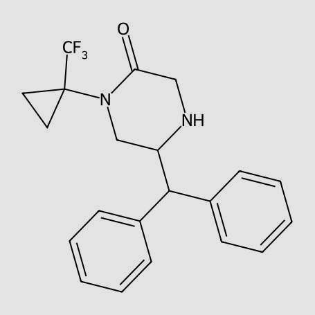 O=C1CNC(C(c2ccccc2)c2ccccc2)CN1C1(C(F)(F)F)CC1